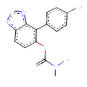 CN(C)C(=S)Oc1ccc2nsnc2c1-c1ccc(C#N)cc1